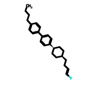 CCCCc1ccc(-c2ccc([C@H]3CC[C@H](CCC=CF)CC3)cc2)cc1